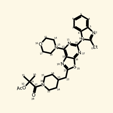 CCc1nc2ccccc2n1-c1nc(N2CCOCC2)c2nc(CC3CCN(C(=O)C(C)(C)OC(C)=O)CC3)sc2n1